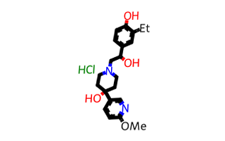 CCc1cc(C(O)CN2CCC(O)(c3ccc(OC)nc3)CC2)ccc1O.Cl